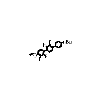 C=COc1ccc(-c2ccc(C3CCC(CCCC)CC3)c(F)c2F)c(F)c1F